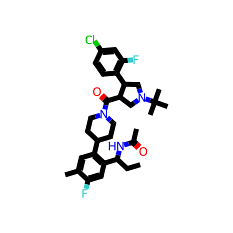 CCC(NC(C)=O)c1cc(F)c(C)cc1C1CCN(C(=O)C2CN(C(C)(C)C)CC2c2ccc(Cl)cc2F)CC1